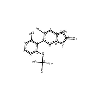 O=c1[nH]c2cc(F)c(-c3c(Cl)cccc3OC(F)(F)F)cc2s1